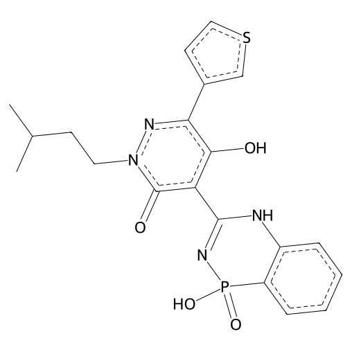 CC(C)CCn1nc(-c2ccsc2)c(O)c(C2=NP(=O)(O)c3ccccc3N2)c1=O